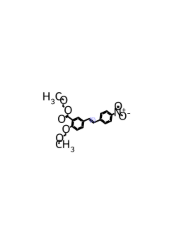 COCOC(=O)c1cc(/C=C/c2ccc([N+](=O)[O-])cc2)ccc1OCOC